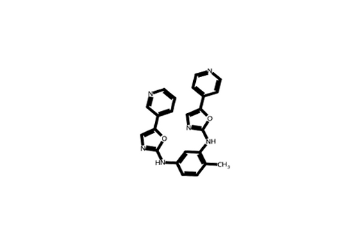 Cc1ccc(Nc2ncc(-c3cccnc3)o2)cc1Nc1ncc(-c2ccncc2)o1